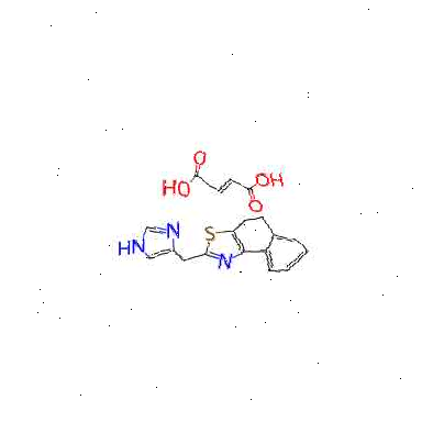 O=C(O)C=CC(=O)O.c1ccc2c(c1)CCc1sc(Cc3c[nH]cn3)nc1-2